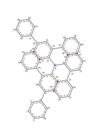 c1ccc(-c2ccc(N(c3ccccc3-c3ccccc3)c3ccc(-c4ccccc4)cc3-c3ccccc3)c(-c3ccccc3)c2)cc1